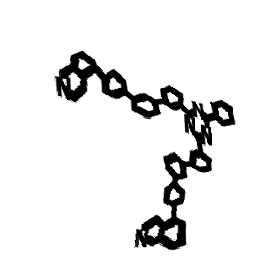 C1=CCCC(c2nc(-c3cccc(C4C=C(c5ccc(-c6cccc7cnccc67)cc5)C=CC4)c3)nc(C3C=C(c4cccc(-c5ccc(-c6cccc7cnccc67)cc5)c4)C=CC3)n2)=C1